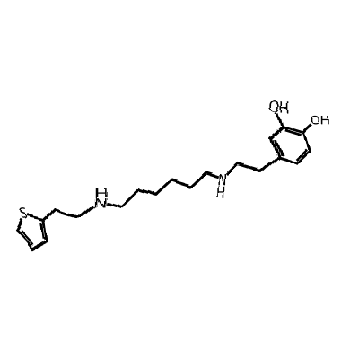 Oc1ccc(CCNCCCCCCNCCc2cccs2)cc1O